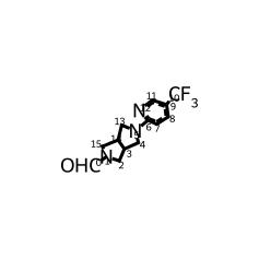 O=CN1CC2CN(c3ccc(C(F)(F)F)cn3)CC2C1